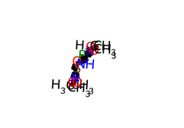 CC(C)(C)OC(=O)N1CC=C(c2ccc(C(=O)Nc3ccc(C4=CCN(C(=O)OC(C)(C)C)CC4)c(F)c3)s2)CC1